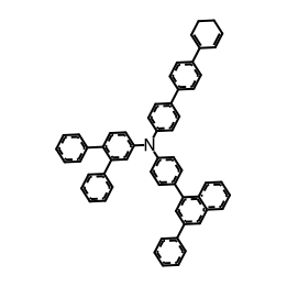 C1=CC(c2ccc(-c3ccc(N(c4ccc(-c5cc(-c6ccccc6)cc6ccccc56)cc4)c4ccc(-c5ccccc5)c(-c5ccccc5)c4)cc3)cc2)=CCC1